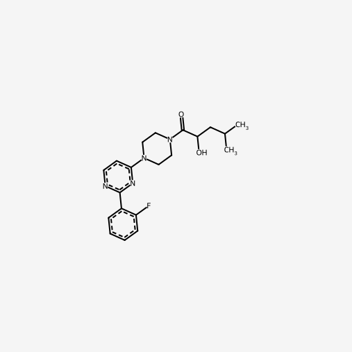 CC(C)CC(O)C(=O)N1CCN(c2ccnc(-c3ccccc3F)n2)CC1